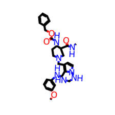 CNC(=O)C1CN(Cc2ccn3c2C(Nc2cccc(OC)c2)NCN3)CCC1NC(=O)OCc1ccccc1